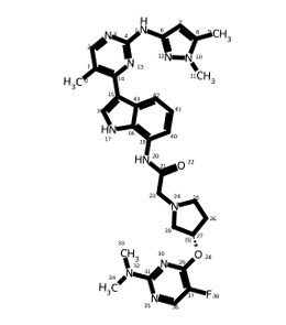 Cc1cnc(Nc2cc(C)n(C)n2)nc1-c1c[nH]c2c(NC(=O)CN3CC[C@H](Oc4nc(N(C)C)ncc4F)C3)cccc12